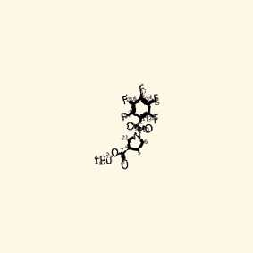 CC(C)(C)OC(=O)[C@@H]1CCN(S(=O)(=O)c2c(F)c(F)c(F)c(F)c2F)C1